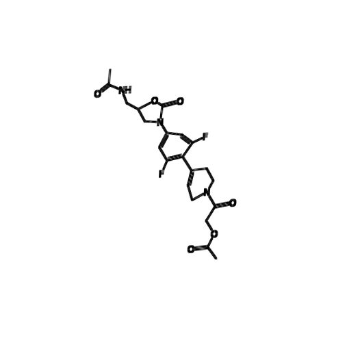 CC(=O)NCC1CN(c2cc(F)c(C3=CCN(C(=O)COC(C)=O)CC3)c(F)c2)C(=O)O1